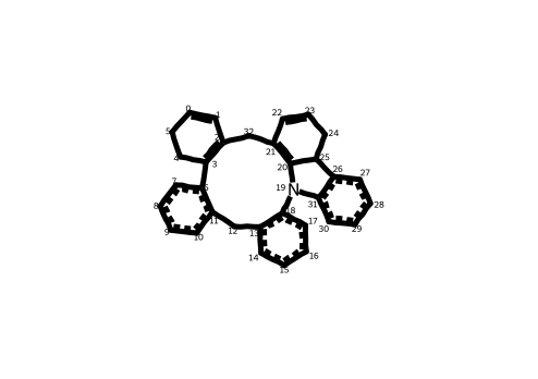 C1=CC2=C(CC1)c1ccccc1Cc1ccccc1N1C3=C(C=CCC3c3ccccc31)C2